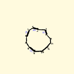 [CH]1/C=C/C=C/C=C\C/C=C\CCC1